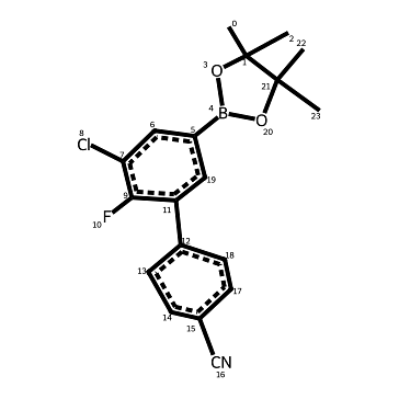 CC1(C)OB(c2cc(Cl)c(F)c(-c3ccc(C#N)cc3)c2)OC1(C)C